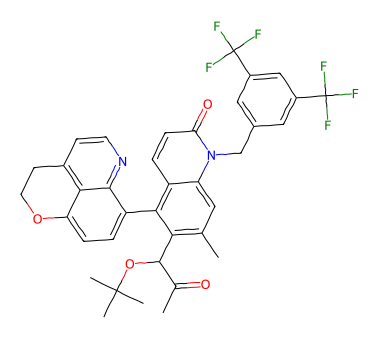 CC(=O)C(OC(C)(C)C)c1c(C)cc2c(ccc(=O)n2Cc2cc(C(F)(F)F)cc(C(F)(F)F)c2)c1-c1ccc2c3c(ccnc13)CCO2